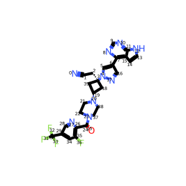 N#CC[C@]1(n2cc(-c3ncnc4[nH]ccc34)cn2)C[C@H](N2CCN(C(=O)c3ncc(C(F)(F)F)cc3F)CC2)C1